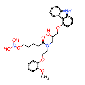 COc1ccccc1OCCN(CC(O)COc1cccc2[nH]c3ccccc3c12)C(=O)CCCCON(O)O